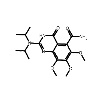 COc1c(OC)c(C(N)=O)c2c(=O)[nH]c(N(C(C)C)C(C)C)nc2c1OC